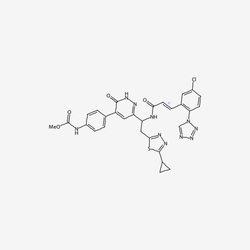 COC(=O)Nc1ccc(-c2cc(C(Cc3nnc(C4CC4)s3)NC(=O)/C=C/c3cc(Cl)ccc3-n3cnnn3)n[nH]c2=O)cc1